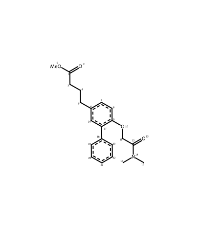 COC(=O)CCCc1ccc(OCC(=O)N(C)C)c(-c2ccccc2)c1